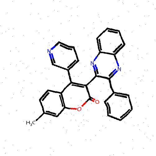 Cc1ccc2c(-c3cccnc3)c(-c3nc4ccccc4nc3-c3ccccc3)c(=O)oc2c1